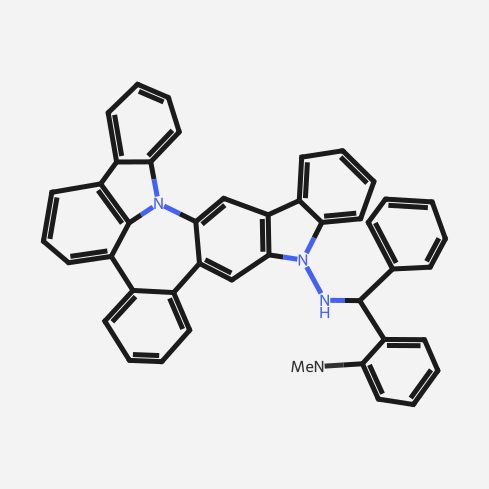 CNc1ccccc1C(Nn1c2ccccc2c2cc3c(cc21)-c1ccccc1-c1cccc2c4ccccc4n-3c12)c1ccccc1